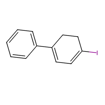 IC1=CC=C(c2ccccc2)CC1